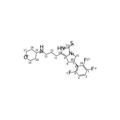 Fc1ccc(F)c([C@H]2Cc3c(CCCNC4CCOCC4)[nH]c(=S)n3C2)c1F